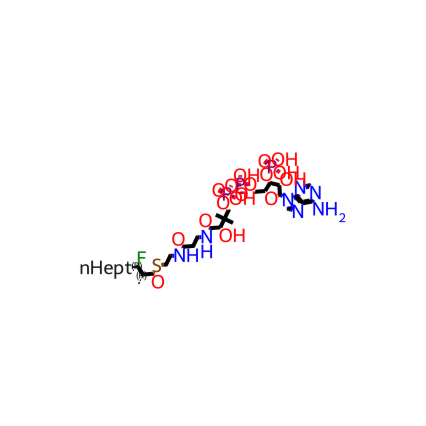 CCCCCCC[C@@H](F)[C@@H](C)C(=O)SCCNC(=O)CCNC(=O)C(O)C(C)(C)COP(=O)(O)OP(=O)(O)OCC1OC(n2cnc3c(N)ncnc32)C(O)C1OP(=O)(O)O